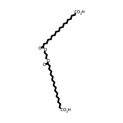 O=C(O)CCCCCCCCCCCCCCCCC(=O)OCCCOC(=O)CCCCCCCCCCCCCCCCC(=O)O